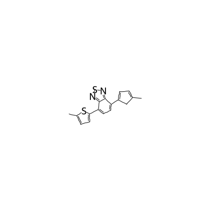 CC1=CC=C(c2ccc(-c3ccc(C)s3)c3nsnc23)C1